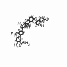 CN(C)[C@@H]1CCCN(c2ccc(C(=O)N[C@H]3[C@@H]4c5cc(Oc6ccnc7c6CCC(=O)N7)ccc5OC34C)cc2C(F)(F)F)C1